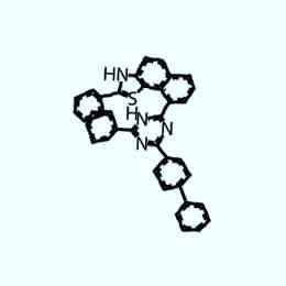 c1ccc(C2=[SH]c3c(ccc4cccc(-c5nc(-c6ccccc6)nc(-c6ccc(-c7ccccc7)cc6)n5)c34)N2)cc1